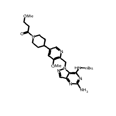 CCCCNc1nc(N)nc2cnn(Cc3ncc(C4CCN(C(=O)CCOC)CC4)cc3OC)c12